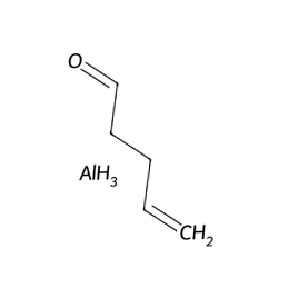 C=CCCC=O.[AlH3]